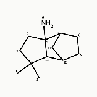 CC1(C)CCC2(N)C3CCC(C3)C12